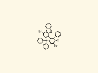 Brc1cc2c(c3c1oc1ccccc13)-c1c(cc(Br)c3c1sc1ccccc13)C2(c1ccccc1)c1ccccc1